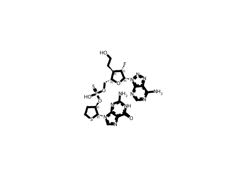 Nc1nc2c(ncn2[C@@H]2SCC[C@H]2OP(O)(=S)OC[C@H]2O[C@@H](n3nnc4c(N)ncnc43)[C@@H](F)[C@@H]2CCO)c(=O)[nH]1